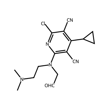 CN(C)CCN(CC=O)c1nc(Cl)c(C#N)c(C2CC2)c1C#N